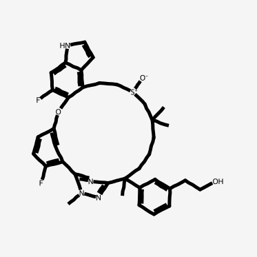 Cn1nc2nc1-c1cc(ccc1F)Oc1c(F)cc3[nH]ccc3c1CC[S+]([O-])CC(C)(C)CCCC2(C)c1cccc(CCO)c1